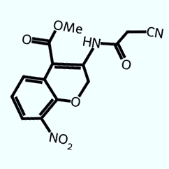 COC(=O)C1=C(NC(=O)CC#N)COc2c1cccc2[N+](=O)[O-]